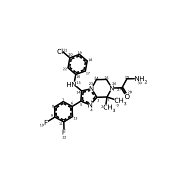 CC1(C)c2nc(-c3ccc(F)c(F)c3)c(Nc3cccc(Cl)c3)n2CCN1C(=O)CN